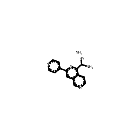 CC(C)C(N)c1nc(-c2ccncc2)cc2cnccc12.N